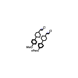 CCCCCc1ccc(C2CCC(/C=C/Cl)CC2)cc1.COc1ccc(C2CCC(/C=C/Cl)CC2)cc1